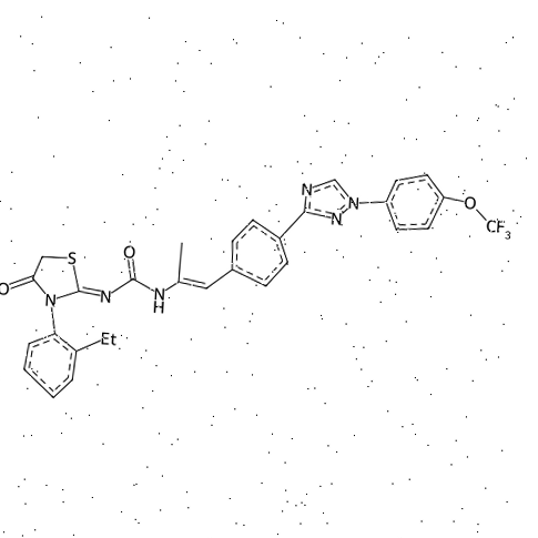 CCc1ccccc1N1C(=O)CS/C1=N\C(=O)N/C(C)=C/c1ccc(-c2ncn(-c3ccc(OC(F)(F)F)cc3)n2)cc1